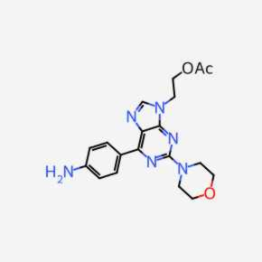 CC(=O)OCCn1cnc2c(-c3ccc(N)cc3)nc(N3CCOCC3)nc21